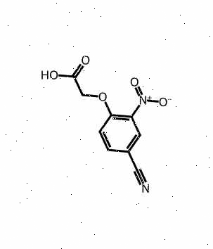 N#Cc1ccc(OCC(=O)O)c([N+](=O)[O-])c1